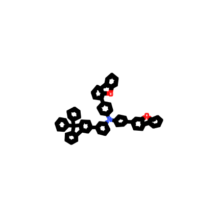 c1ccc(C2(c3ccccc3)c3ccccc3-c3cc(-c4cccc(N(c5ccc(-c6ccc7c(c6)oc6ccccc67)cc5)c5ccc(-c6cccc7c6oc6ccccc67)cc5)c4)ccc32)cc1